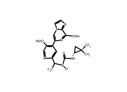 CCN(C(=O)N[C@@H]1C[C@@]1(C)C(F)(F)F)C(c1cc(-c2cn3ccnc3c(OC)n2)c(OC)cn1)C(F)(F)F